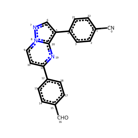 N#Cc1ccc(-c2cnn3ccc(-c4ccc(C=O)cc4)nc23)cc1